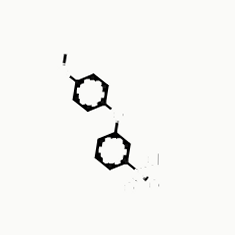 COc1ccc(Oc2cccc(S(=O)(=O)Cl)c2)cc1